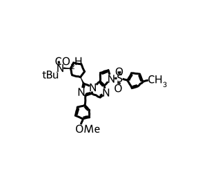 COc1ccc(-c2nc([C@@H]3CCC[C@H](N(C(=O)O)C(C)(C)C)C3)n3c2cnc2c3ccn2S(=O)(=O)c2ccc(C)cc2)cc1